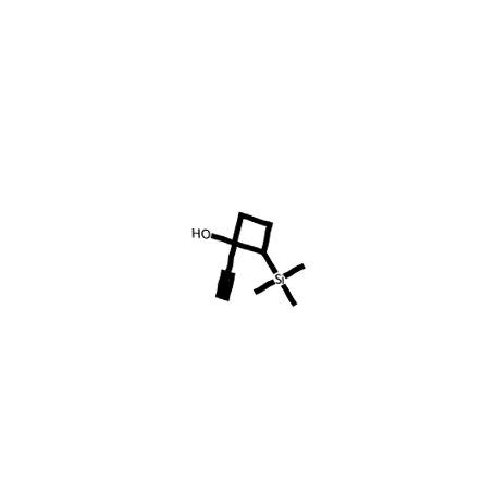 C#CC1(O)CCC1[Si](C)(C)C